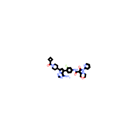 Nc1ncnn2c(C3CCN(C(=O)C4CCC4)CC3)cc(-c3ccc(NC(=O)c4c5n(n(-c6ccccn6)c4=O)CCOC5)cc3F)c12